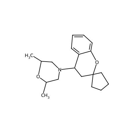 CC1CN(C2CC3(CCCC3)Oc3ccccc32)CC(C)O1